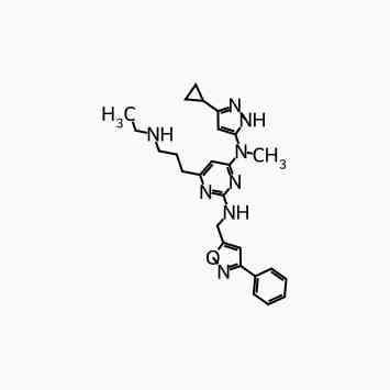 CCNCCCc1cc(N(C)c2cc(C3CC3)n[nH]2)nc(NCc2cc(-c3ccccc3)no2)n1